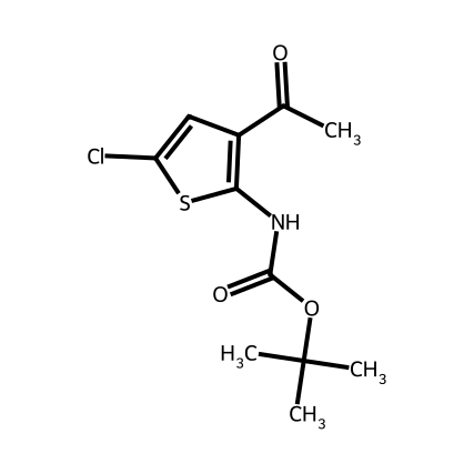 CC(=O)c1cc(Cl)sc1NC(=O)OC(C)(C)C